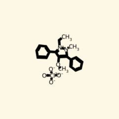 CC[n+]1c(-c2ccccc2)c(OC)c(-c2ccccc2)n1C.[O-][Cl+3]([O-])([O-])[O-]